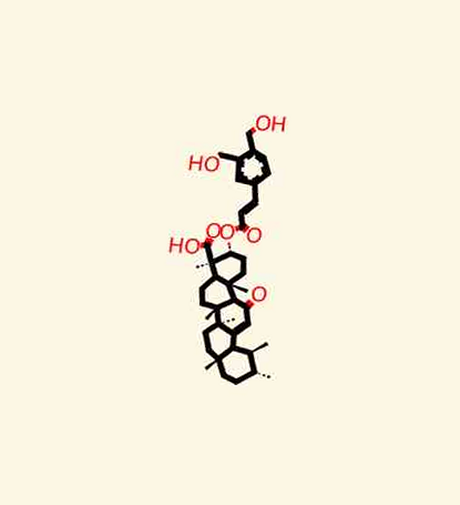 C[C@@H]1CC[C@]2(C)CC[C@]3(C)C(=CC(=O)C4[C@@]5(C)CC[C@@H](OC(=O)/C=C/c6ccc(CO)c(CO)c6)[C@](C)(C(=O)O)C5CC[C@]43C)C2[C@H]1C